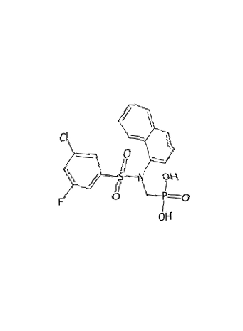 O=P(O)(O)CN(c1cccc2ccccc12)S(=O)(=O)c1cc(F)cc(Cl)c1